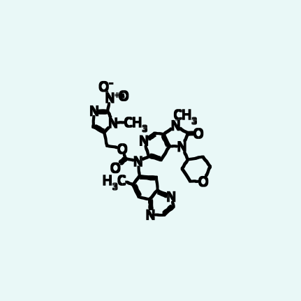 Cc1cc2nccnc2cc1N(C(=O)OCc1cnc([N+](=O)[O-])n1C)c1cc2c(cn1)n(C)c(=O)n2C1CCOCC1